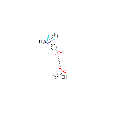 C=C(C)C(=O)OCCCCCOC(=O)c1ccc(/C(=N/C)C(F)(F)C(F)(F)C(F)(F)F)cc1